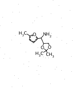 Cc1ccc(C(N)C2COC(C)(C)O2)o1